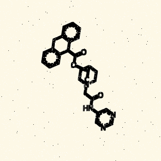 O=C(C[N+]12CCC(CC1)C(OC(=O)C1c3ccccc3Cc3ccccc31)C2)Nc1cncnc1